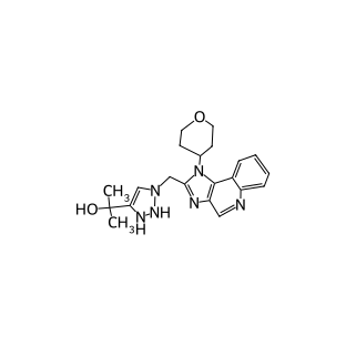 CC(C)(O)C1=CN(Cc2nc3cnc4ccccc4c3n2C2CCOCC2)NN1